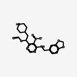 O=COC(CC1CCNCC1)c1ncnc(NCc2ccc3c(c2)OCO3)c1[N+](=O)[O-]